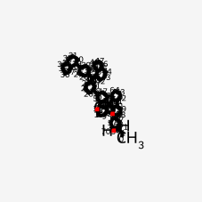 CCC1C[C@@H]2C[C@H](Cc3ccccc3C3(c4ccc(-c5cccc(N(c6ccc(-c7cccc8ccccc78)cc6)c6cccc7ccccc67)c5)cc4C)c4ccccc4-c4ccccc43)C[C@H]1C2